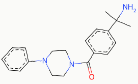 CC(C)(N)c1ccc(C(=O)N2CCN(c3ccccc3)CC2)cc1